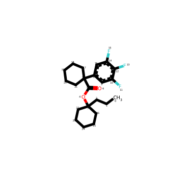 CCCC1(OC(=O)C2(c3cc(F)c(F)c(F)c3)CCCCC2)CCCCC1